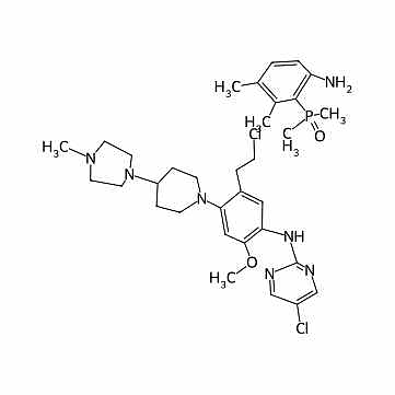 COc1cc(N2CCC(N3CCN(C)CC3)CC2)c(CCCl)cc1Nc1ncc(Cl)cn1.Cc1ccc(N)c(P(C)(C)=O)c1C